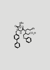 CCCCNC(=O)[C@H](Cc1ccc(-c2ccccc2)cc1)NC(=O)N(CCC(C)C)C(CSc1ccccc1)CC(=O)O